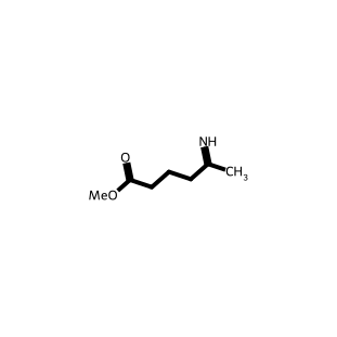 COC(=O)CCCC(C)=N